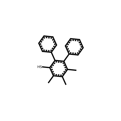 Cc1c(C)c(S)c(-c2ccccc2)c(-c2ccccc2)c1C